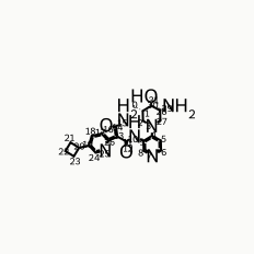 C[C@H]1CN(c2ccncc2NC(=O)c2c(N)oc3cc(C4CCC4)cnc23)C[C@@H](N)[C@@H]1O